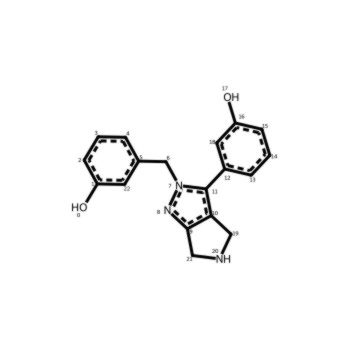 Oc1cccc(Cn2nc3c(c2-c2cccc(O)c2)CNC3)c1